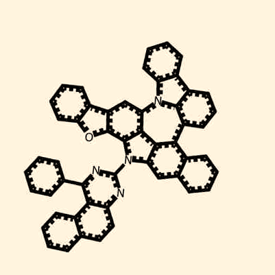 c1ccc(-c2nc(-n3c4cc5ccccc5c5c6cccc7c8ccccc8n(c8cc9c%10ccccc%10oc9c3c8c54)c76)nc3ccc4ccccc4c23)cc1